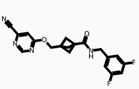 N#Cc1cc(OCC23CC(C(=O)NCc4cc(F)cc(F)c4)(C2)C3)ncn1